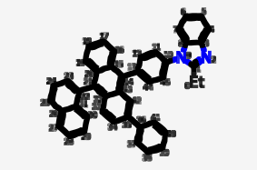 CCc1nc2ccccc2n1-c1ccc(-c2c3ccccc3c(-c3cccc4ccccc34)c3ccc(-c4ccccc4)cc23)cc1